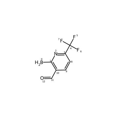 Bc1nc(C(F)(F)F)ccc1C=O